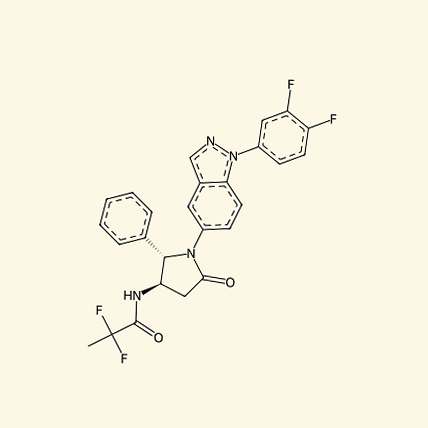 CC(F)(F)C(=O)N[C@@H]1CC(=O)N(c2ccc3c(cnn3-c3ccc(F)c(F)c3)c2)[C@H]1c1ccccc1